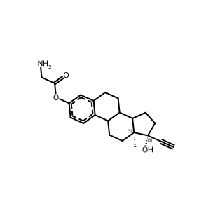 C#C[C@]1(O)CCC2C3CCc4cc(OC(=O)CN)ccc4C3CC[C@@]21C